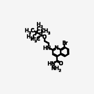 CC(C)(C)[Si](C)(C)OCCNc1cc(C(=O)NN)c2cccc(Br)c2n1